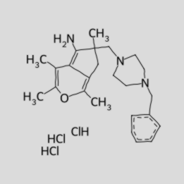 CC1=C(C)C2=C(N)C(C)(CN3CCN(Cc4ccccc4)CC3)CC2=C(C)O1.Cl.Cl.Cl